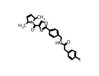 CC1C=CC(C)N1C(=O)c1coc(-c2ccc(CNC(=O)Cc3ccc(I)cc3)cc2)n1